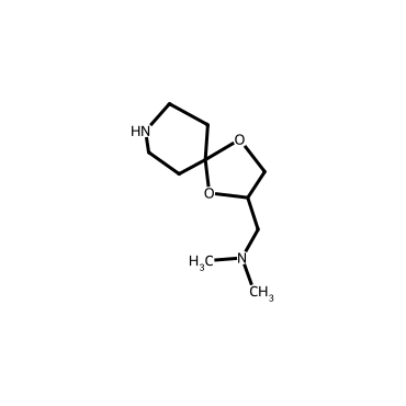 CN(C)CC1COC2(CCNCC2)O1